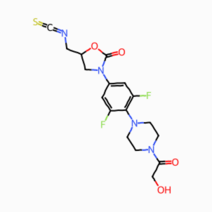 O=C(CO)N1CCN(c2c(F)cc(N3CC(CN=C=S)OC3=O)cc2F)CC1